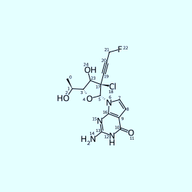 C[C@H](O)[C@H]1O[C@@H](n2ccc3c(=O)[nH]c(N)nc32)[C@@](Cl)(C#CCF)C1O